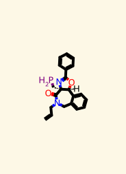 C=CCN1Cc2ccccc2[C@@H]2OC(c3ccccc3)=N[C@]2(CP)C1=O